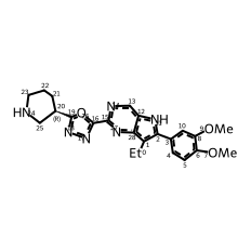 CCc1c(-c2ccc(OC)c(OC)c2)[nH]c2cnc(-c3nnc([C@@H]4CCCNC4)o3)nc12